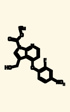 CC(C)(C)OC(=O)n1cc(CO)c2c(Oc3ccc([N+](=O)[O-])cc3F)ccnc21